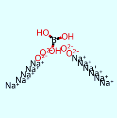 OB(O)O.[Na+].[Na+].[Na+].[Na+].[Na+].[Na+].[Na+].[Na+].[Na+].[Na+].[Na+].[O-2].[O-2].[O-2].[O-2]